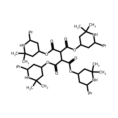 CC(C)C1CC(OC(=O)C(C(=O)OC2CC(C(C)C)NC(C)(C)C2)C(C(=O)OC2CC(C(C)C)NC(C)(C)C2)C(=O)OC2CC(C(C)C)NC(C)(C)C2)CC(C)(C)N1